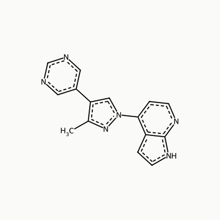 Cc1nn(-c2ccnc3[nH]ccc23)cc1-c1cncnc1